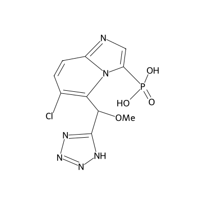 COC(c1nnn[nH]1)c1c(Cl)ccc2ncc(P(=O)(O)O)n12